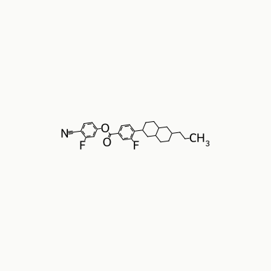 CCCC1CCC2CC(c3ccc(C(=O)Oc4ccc(C#N)c(F)c4)cc3F)CCC2C1